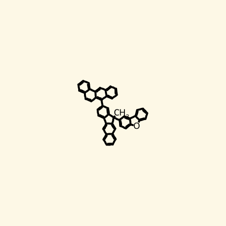 CC1(c2ccc3oc4ccccc4c3c2)c2cc(-c3c4ccccc4cc4c3ccc3ccccc34)ccc2-c2cc3ccccc3cc21